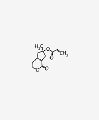 C=CC(=O)OC1(C)CC2CCOC(=O)C2C1